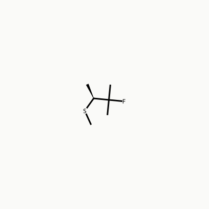 CS[C@@H](C)C(C)(C)F